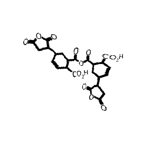 O=C1CC(C2C=CC(C(=O)O)C(C(=O)OC(=O)C3CC(C4CC(=O)OC4=O)C=CC3C(=O)O)C2)C(=O)O1